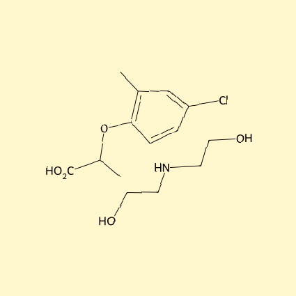 Cc1cc(Cl)ccc1OC(C)C(=O)O.OCCNCCO